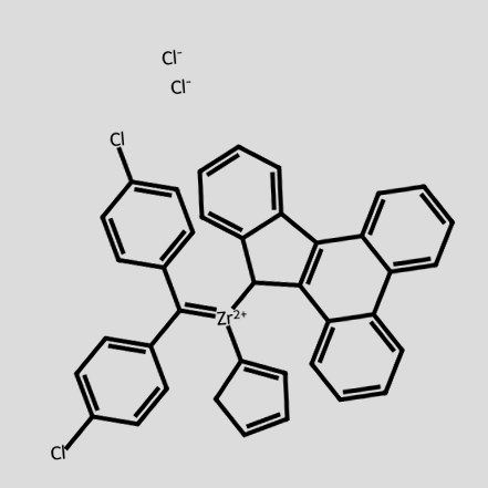 Clc1ccc([C](c2ccc(Cl)cc2)=[Zr+2]([C]2=CC=CC2)[CH]2c3ccccc3-c3c2c2ccccc2c2ccccc32)cc1.[Cl-].[Cl-]